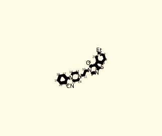 CCN1CCc2sc3ncn(CCN4CCN(c5ccccc5C#N)CC4)c(=O)c3c2C1